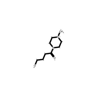 CN1CCN(C(=O)CCC[O])CC1